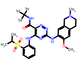 [2H]C([2H])([2H])NC(=O)c1nnc(Nc2cc3c(cc2OC)CCN(C)C3)nc1Nc1ccccc1S(=O)(=O)C(C)C